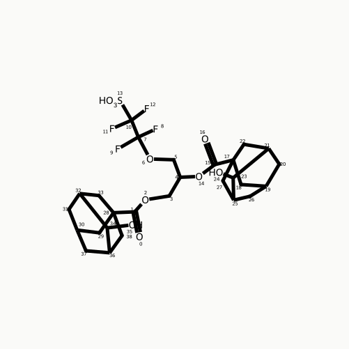 O=C(OCC(COC(F)(F)C(F)(F)S(=O)(=O)O)OC(=O)C12CC3CC(C1)C(O)C(C3)C2)C12CC3CC(C1)C(O)C(C3)C2